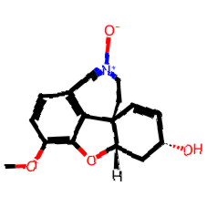 COc1ccc2c3c1O[C@H]1C[C@@H](O)C=C[C@@]31CC[N+]([O-])=C2